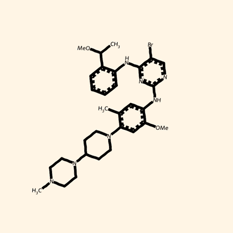 COc1cc(N2CCC(N3CCN(C)CC3)CC2)c(C)cc1Nc1ncc(Br)c(Nc2ccccc2C(C)OC)n1